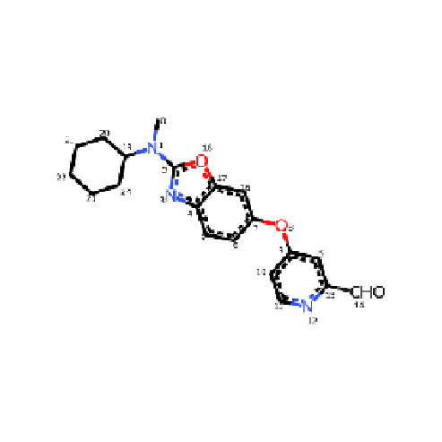 CN(c1nc2ccc(Oc3ccnc(C=O)c3)cc2o1)C1CCCCC1